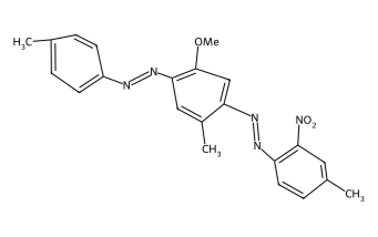 COc1cc(N=Nc2ccc(C)cc2[N+](=O)[O-])c(C)cc1N=Nc1ccc(C)cc1